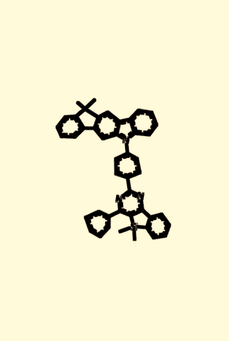 CC1(C)c2ccccc2-c2cc3c(cc21)c1ccccc1n3-c1ccc(-c2nc(-c3ccccc3)c3c(n2)-c2ccccc2[Si]3(C)C)cc1